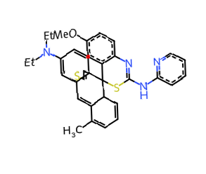 CCN(CC)C1=CC23C=C4C(C)=CC=CC4C4(SC(Nc5ccccn5)=Nc5ccc(OC)cc54)C2(C=CS3)C=C1